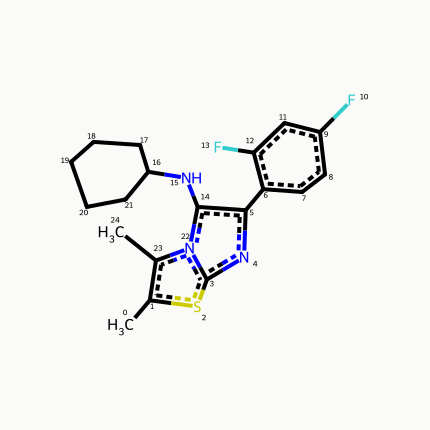 Cc1sc2nc(-c3ccc(F)cc3F)c(NC3CCCCC3)n2c1C